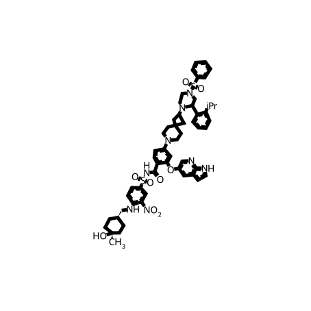 CC(C)c1ccccc1C1CN(S(=O)(=O)c2ccccc2)CCN1C1CC2(CCN(c3ccc(C(=O)NS(=O)(=O)c4ccc(NC[C@H]5CC[C@](C)(O)CC5)c([N+](=O)[O-])c4)c(Oc4cnc5[nH]ccc5c4)c3)CC2)C1